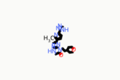 Cc1nc(-c2nnc[nH]2)ccc1-c1cnc2c(n1)N(CCC1CCOCC1)C(=O)CN2